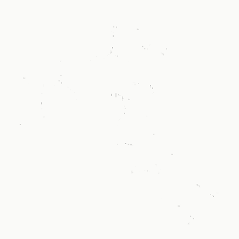 Cc1cc(Nc2ncnn3cc(F)c(C4CCN(C(=O)OC(C)(C)C)CC4)c23)ccc1Oc1ccn2ncnc2c1